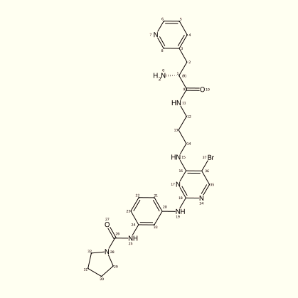 N[C@H](Cc1cccnc1)C(=O)NCCCNc1nc(Nc2cccc(NC(=O)N3CCCC3)c2)ncc1Br